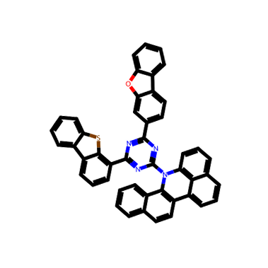 c1ccc2c3c(ccc2c1)-c1cccc2cccc(c12)N3c1nc(-c2ccc3c(c2)oc2ccccc23)nc(-c2cccc3c2sc2ccccc23)n1